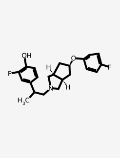 CC(CN1C[C@H]2C[C@@H](Oc3ccc(F)cc3)C[C@H]2C1)c1ccc(O)c(F)c1